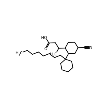 CCCCCCCCC1(C2CC(C#N)CCC2C(C)CC(=O)O)CCCCC1